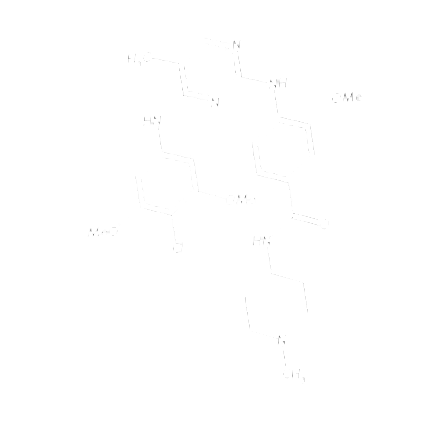 COc1cc(C(=O)NC2CCN(C)CC2)ccc1Nc1ncc(C)c(Nc2cc(OC)c(Cl)c(OC)c2)n1